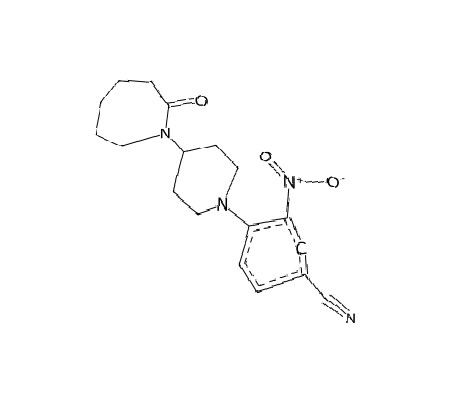 N#Cc1ccc(N2CCC(N3CCCCCC3=O)CC2)c([N+](=O)[O-])c1